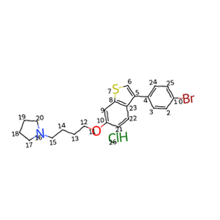 Brc1ccc(-c2csc3cc(OCCCCN4CCCC4)ccc23)cc1.Cl